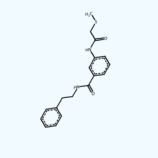 CSCC(=O)Nc1cccc(C(=O)NCCc2ccccc2)c1